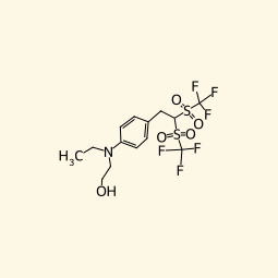 CCN(CCO)c1ccc(CC(S(=O)(=O)C(F)(F)F)S(=O)(=O)C(F)(F)F)cc1